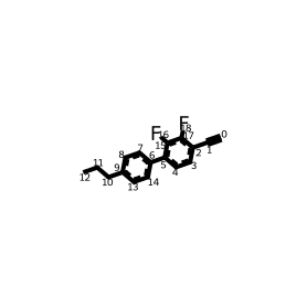 C#Cc1ccc(-c2ccc(CCC)cc2)c(F)c1F